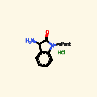 CCCCCN1C(=O)C(N)c2ccccc21.Cl